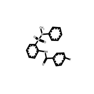 CN(c1ccccc1)S(=O)(=O)c1ccccc1NC(=O)c1ccc(F)cc1